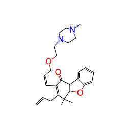 C=CCC1=C(/C=C\COCCN2CCN(C)CC2)C(=O)c2c(oc3ccccc23)C1(C)C